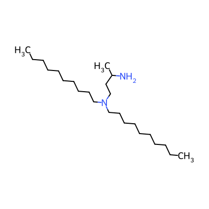 CCCCCCCCCCN(CCCCCCCCCC)CCC(C)N